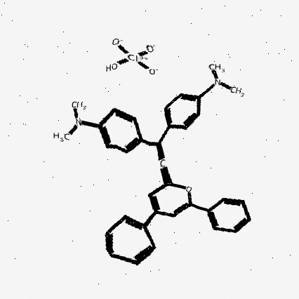 CN(C)c1ccc(C(=C=C2C=C(c3ccccc3)C=C(c3ccccc3)O2)c2ccc(N(C)C)cc2)cc1.[O-][Cl+3]([O-])([O-])O